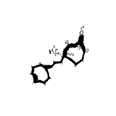 C[C@@]1(CCC2CC=CCC2)CCCC(=O)C1